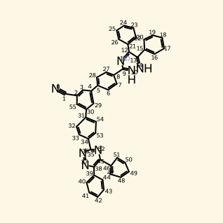 N#Cc1cc(-c2ccc(C(=N)/N=C(\C(=N)c3ccccc3)c3ccccc3)cc2)cc(-c2ccc(-c3nnc(-c4ccccc4)c(-c4ccccc4)n3)cc2)c1